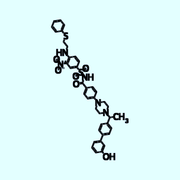 CC(c1ccc(-c2cccc(O)c2)cc1)N1CCN(c2ccc(C(=O)NS(=O)(=O)c3ccc(NCCSc4ccccc4)c([N+](=O)[O-])c3)cc2)CC1